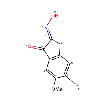 COc1cc2c(cc1Br)C/C(=N\O)C2=O